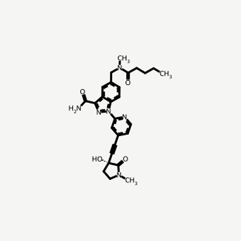 CCCCC(=O)N(C)Cc1ccc2c(c1)c(C(N)=O)nn2-c1cc(C#C[C@]2(O)CCN(C)C2=O)ccn1